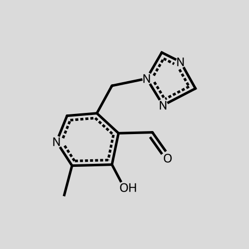 Cc1ncc(Cn2cncn2)c(C=O)c1O